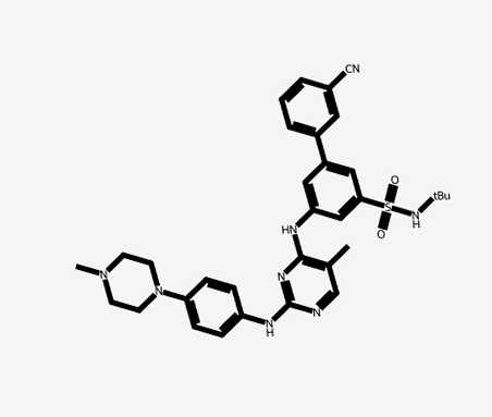 Cc1cnc(Nc2ccc(N3CCN(C)CC3)cc2)nc1Nc1cc(-c2cccc(C#N)c2)cc(S(=O)(=O)NC(C)(C)C)c1